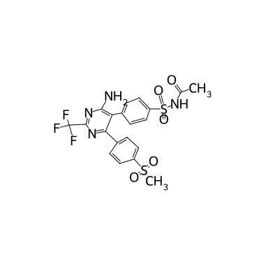 CC(=O)NS(=O)(=O)c1ccc(-c2c(N)nc(C(F)(F)F)nc2-c2ccc(S(C)(=O)=O)cc2)cc1